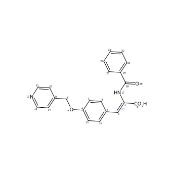 O=C(O)/C(=C/c1ccc(OCc2ccncc2)cc1)NC(=O)c1ccccc1